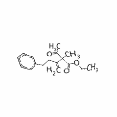 C=C(CCc1ccccc1)C(C)(C(C)=O)C(=O)OCC